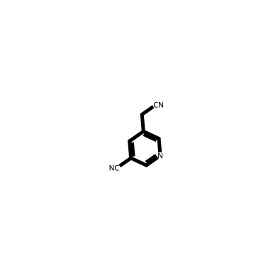 N#CCc1cncc(C#N)c1